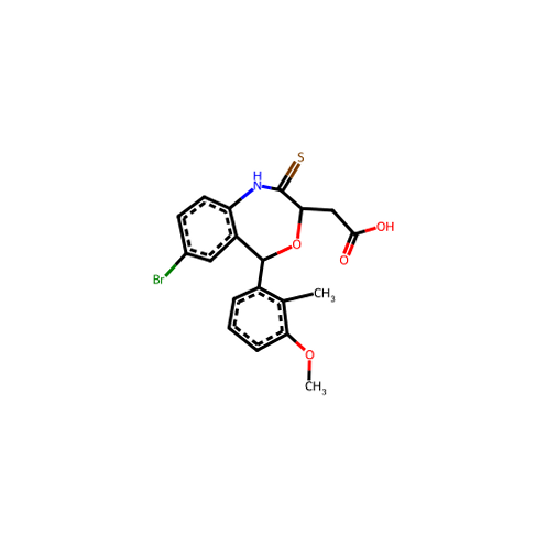 COc1cccc(C2OC(CC(=O)O)C(=S)Nc3ccc(Br)cc32)c1C